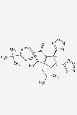 CC(C)C[C@@]1(C(=O)O)C[C@@H](c2ncns2)[C@H](c2nccs2)N1C(=O)c1ccc(C(C)(C)C)cc1